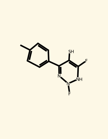 Cc1ccc(C2=NN(F)NC(F)=C2S)cc1